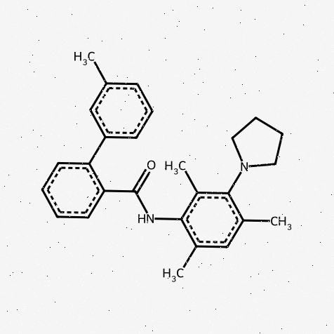 Cc1cccc(-c2ccccc2C(=O)Nc2c(C)cc(C)c(N3CCCC3)c2C)c1